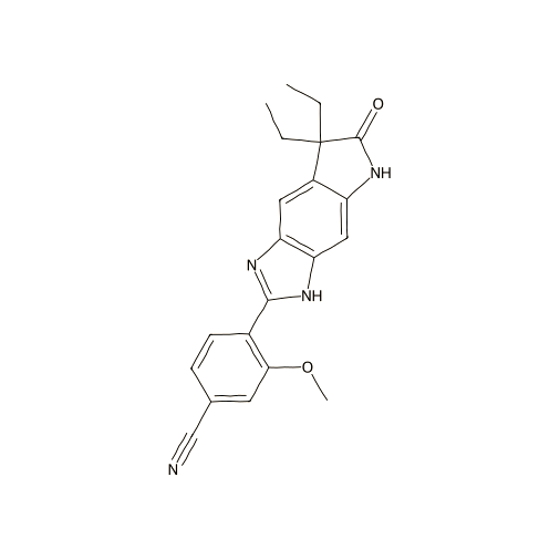 CCC1(CC)C(=O)Nc2cc3[nH]c(-c4ccc(C#N)cc4OC)nc3cc21